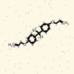 C=CCOc1ccc(C(CC)(CC)c2ccc(OCC=C)cc2)cc1